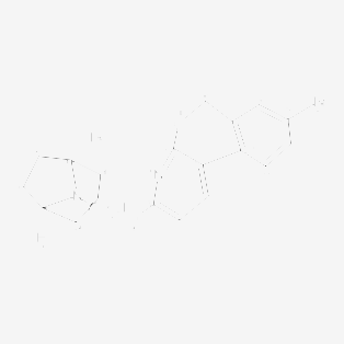 O=C(O)N1[C@@H]2CC[C@H]1C[C@H](Oc1ccc3c(n1)OCc1cc(Br)ccc1-3)C2